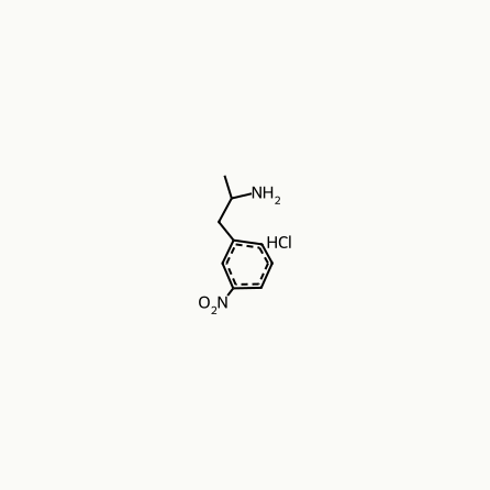 CC(N)Cc1cccc([N+](=O)[O-])c1.Cl